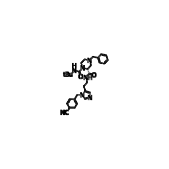 CC(C)(C)NC(=O)N1CCN(Cc2ccccc2)C[C@@H]1C(=O)NCCc1cncn1Cc1ccc(C#N)cc1